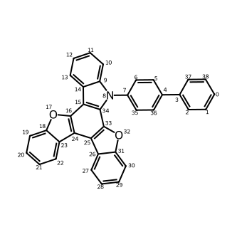 c1ccc(-c2ccc(-n3c4ccccc4c4c5oc6ccccc6c5c5c6ccccc6oc5c43)cc2)cc1